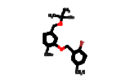 COc1ccc(CO[Si](C)(C)C(C)(C)C)cc1OCc1cc(C(=O)O)ccc1Br